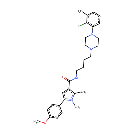 COc1ccc(-c2cc(C(=O)NCCCCN3CCN(c4cccc(C)c4Cl)CC3)c(C)n2C)cc1